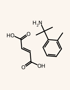 Cc1ccccc1C(C)(C)N.O=C(O)C=CC(=O)O